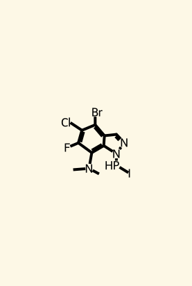 CN(C)c1c(F)c(Cl)c(Br)c2cnn(PI)c12